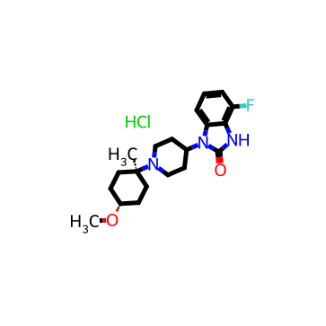 CO[C@H]1CC[C@](C)(N2CCC(n3c(=O)[nH]c4c(F)cccc43)CC2)CC1.Cl